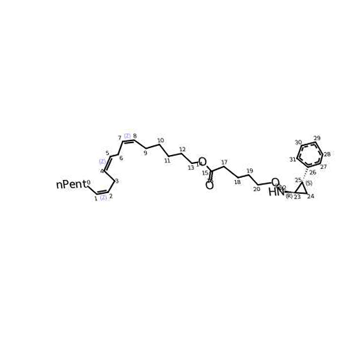 CCCCC/C=C\C/C=C\C/C=C\CCCCCOC(=O)CCCCON[C@@H]1C[C@H]1c1ccccc1